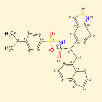 CC(C)c1ccc(S(=O)(=O)NC(=O)C(Cc2cccc3ccccc23)c2ccc3nsnc3c2)cc1